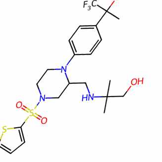 CC(C)(CO)NCC1CN(S(=O)(=O)c2cccs2)CCN1c1ccc(C(C)(O)C(F)(F)F)cc1